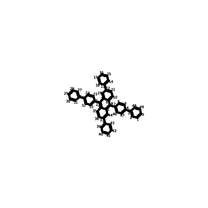 c1ccc(-c2ccc(-c3c4ccc(-c5ccccc5)cc4c(-c4ccc(-c5ccccc5)cc4)c4ccc(-c5ccccc5)cc34)cc2)cc1